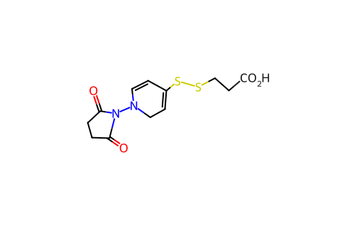 O=C(O)CCSSC1=CCN(N2C(=O)CCC2=O)C=C1